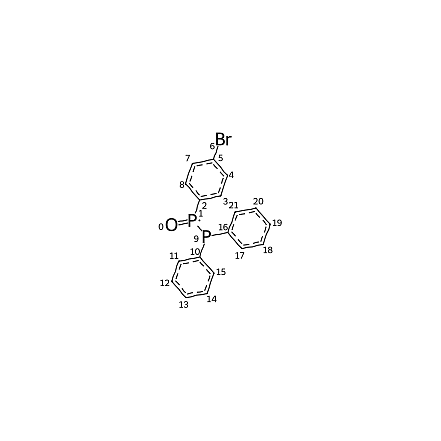 O=[P](c1ccc(Br)cc1)P(c1ccccc1)c1ccccc1